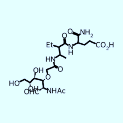 CCC(C(=O)NC(CCC(=O)O)C(N)=O)C(C)NC(=O)CO[C@@H]([C@H](O)[C@H](O)CO)[C@H](C=O)NC(C)=O